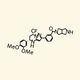 COc1ccc([C@@H]2C[C@H](C(F)(F)F)n3nc(-c4cccc(C(=O)N5CC6CNCC6C5)c4)cc3N2)cc1OC